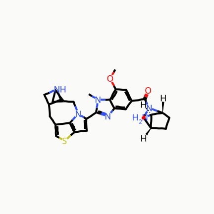 COc1cc(C(=O)N2C[C@H]3CC[C@@H]2[C@@H]3N)cc2nc(-c3cc4scc(CC5CNC5)c4n3CC3CC3)n(C)c12